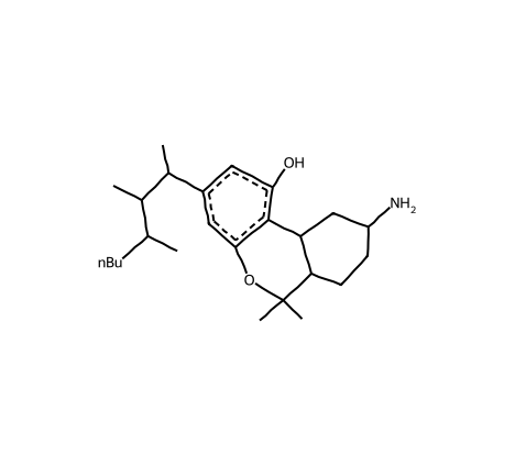 CCCCC(C)C(C)C(C)c1cc(O)c2c(c1)OC(C)(C)C1CCC(N)CC21